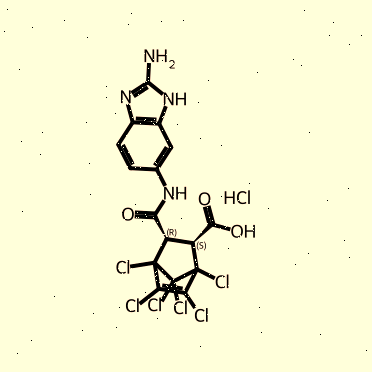 Cl.Nc1nc2ccc(NC(=O)[C@H]3[C@@H](C(=O)O)C4(Cl)C(Cl)=C(Cl)C3(Cl)C4(Cl)Cl)cc2[nH]1